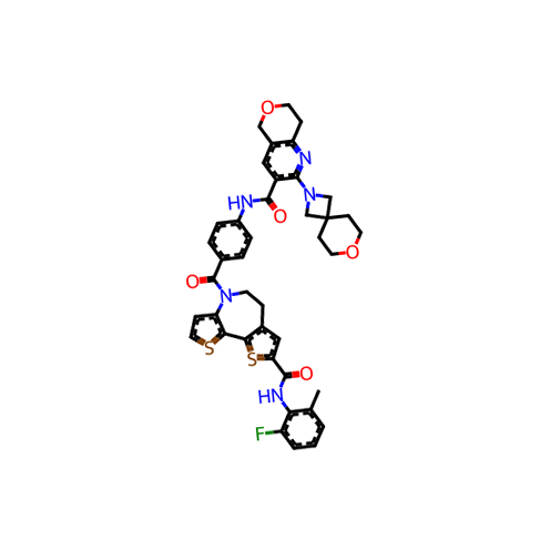 Cc1cccc(F)c1NC(=O)c1cc2c(s1)-c1sccc1N(C(=O)c1ccc(NC(=O)c3cc4c(nc3N3CC5(CCOCC5)C3)CCOC4)cc1)CC2